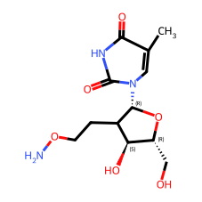 Cc1cn([C@@H]2O[C@H](CO)[C@@H](O)C2CCON)c(=O)[nH]c1=O